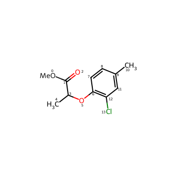 COC(=O)C(C)Oc1ccc(C)cc1Cl